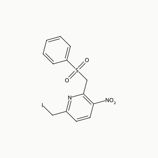 O=[N+]([O-])c1ccc(CI)nc1CS(=O)(=O)c1ccccc1